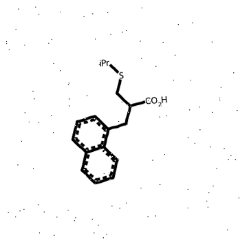 CC(C)SCC(Cc1cccc2ccccc12)C(=O)O